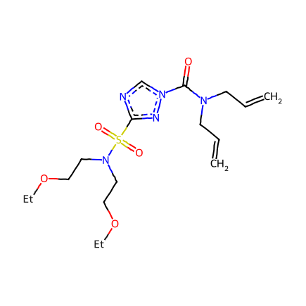 C=CCN(CC=C)C(=O)n1cnc(S(=O)(=O)N(CCOCC)CCOCC)n1